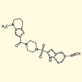 C#Cc1ccc2[nH]c(S(=O)(=O)N3CCN(C(=O)c4cc5c(s4)CCCN5C)CC3)cc2c1